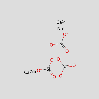 O=C([O-])[O-].O=[Si]([O-])[O-].O=[Si]([O-])[O-].[Ca+2].[Ca+2].[Na+].[Na+]